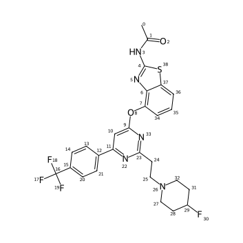 CC(=O)Nc1nc2c(Oc3cc(-c4ccc(C(F)(F)F)cc4)nc(CCN4CCC(F)CC4)n3)cccc2s1